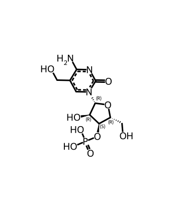 Nc1nc(=O)n([C@@H]2O[C@H](CO)[C@@H](OP(=O)(O)O)[C@H]2O)cc1CO